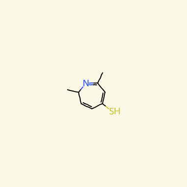 CC1=NC(C)C=CC(S)=C1